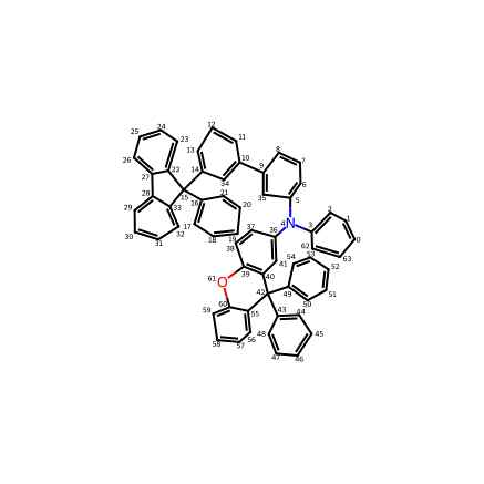 c1ccc(N(c2cccc(-c3cccc(C4(c5ccccc5)c5ccccc5-c5ccccc54)c3)c2)c2ccc3c(c2)C(c2ccccc2)(c2ccccc2)c2ccccc2O3)cc1